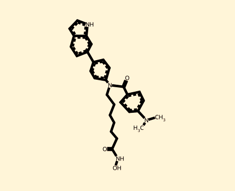 CN(C)c1ccc(C(=O)N(CCCCCCC(=O)NO)c2ccc(-c3ccc4cc[nH]c4c3)cc2)cc1